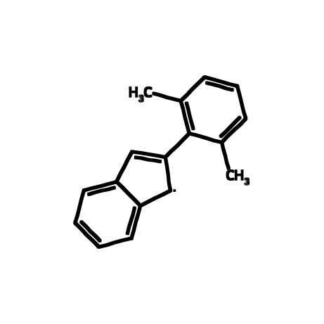 Cc1cccc(C)c1C1=Cc2ccccc2[CH]1